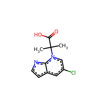 CC(C)(C(=O)O)n1cc(Cl)cc2ccnc1-2